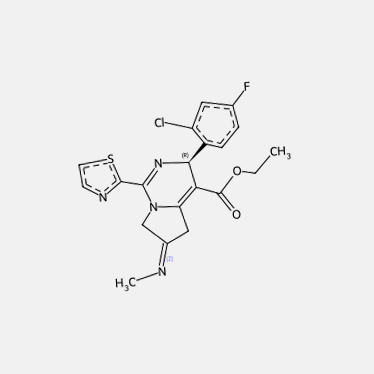 CCOC(=O)C1=C2C/C(=N/C)CN2C(c2nccs2)=N[C@H]1c1ccc(F)cc1Cl